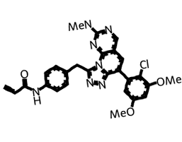 C=CC(=O)Nc1ccc(Cc2nnc3c(-c4cc(OC)cc(OC)c4Cl)cc4cnc(NC)nc4n23)cc1